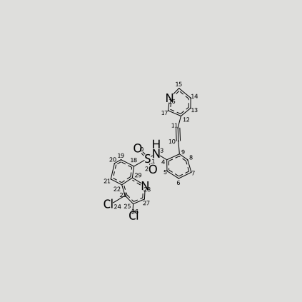 O=S(=O)(Nc1ccccc1C#Cc1cccnc1)c1cccc2c(Cl)c(Cl)cnc12